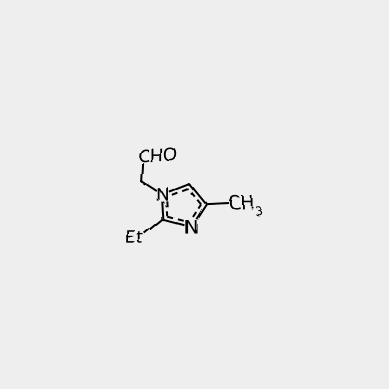 CCc1nc(C)cn1CC=O